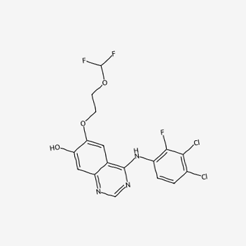 Oc1cc2ncnc(Nc3ccc(Cl)c(Cl)c3F)c2cc1OCCOC(F)F